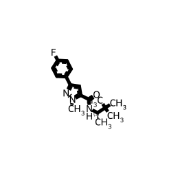 C[C@H](NC(=O)c1cc(-c2ccc(F)cc2)nn1C)C(C)(C)C